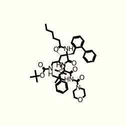 CCCCCC(=O)N[C@](Cc1ccccc1-c1ccccc1)(C(=O)NC(Cc1ccccc1)C(=O)NC(=O)N1CCOCC1)[C@@H](C)C(CNC(=O)OC(C)(C)C)O[Si](C)(C)C(C)(C)C